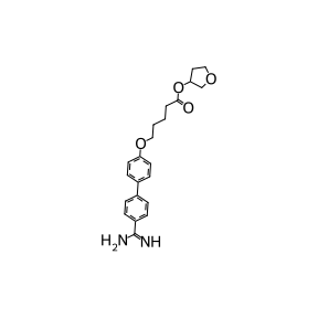 N=C(N)c1ccc(-c2ccc(OCCCCC(=O)OC3CCOC3)cc2)cc1